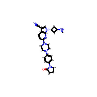 CN[C@H]1C[C@H](n2cc(C#N)c3ccc(N4CCN(c5ccc(N6CCCC6=O)cc5)CC4)nc32)C1